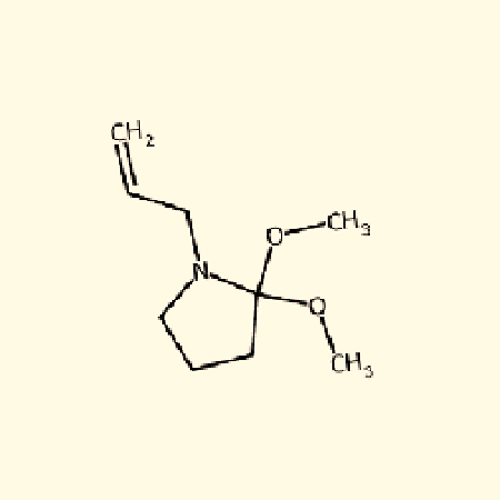 C=CCN1CCCC1(OC)OC